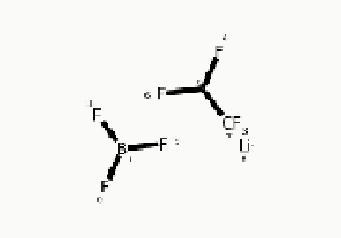 FB(F)F.FC(F)C(F)(F)F.[Li]